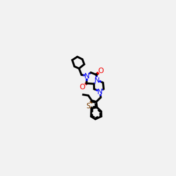 CCc1sc2ccccc2c1CN1CCN2C(=O)CN(CC3CCCCC3)C(=O)C2C1